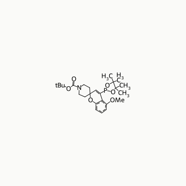 COc1cccc2c1C(P1OC(C)(C)C(C)(C)O1)=CC1(CCN(C(=O)OC(C)(C)C)CC1)O2